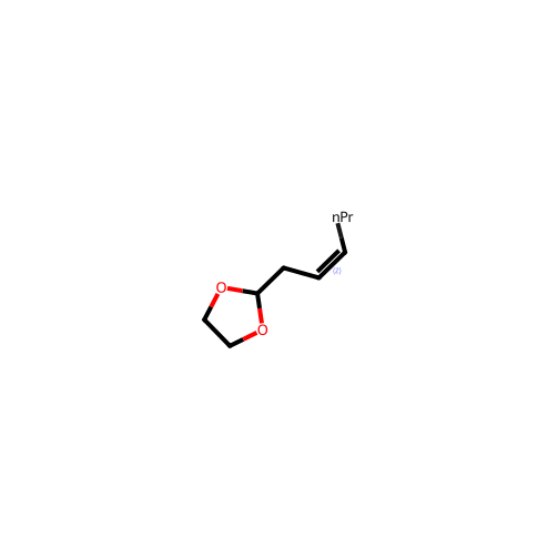 CCC/C=C\CC1OCCO1